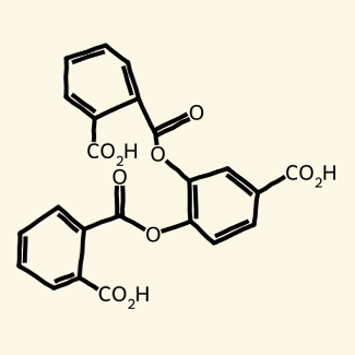 O=C(O)c1ccc(OC(=O)c2ccccc2C(=O)O)c(OC(=O)c2ccccc2C(=O)O)c1